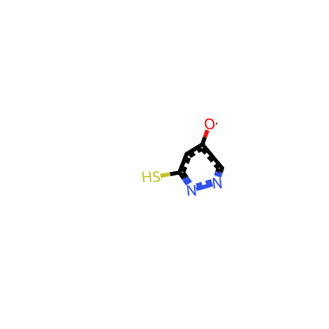 [O]c1cnnc(S)c1